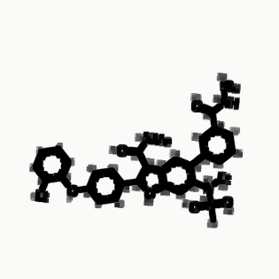 CCc1ccccc1Oc1ccc(-c2oc3cc(N(CC)S(C)(=O)=O)c(-c4cccc(C(=O)NC(C)(C)C)c4)cc3c2C(=O)NC)cc1